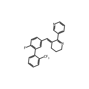 Fc1ccc(C=C2CCCN=C2c2cccnc2)cc1-c1ccccc1C(F)(F)F